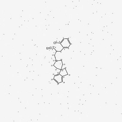 CCOC(=O)C(Cc1ccccc1Cl)CN1CCC2(CCc3ccccc32)CC1